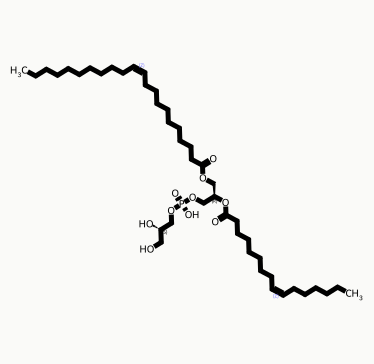 CCCCCC/C=C\CCCCCCCC(=O)O[C@H](COC(=O)CCCCCCCCC/C=C\CCCCCCCCCC)COP(=O)(O)OC[C@@H](O)CO